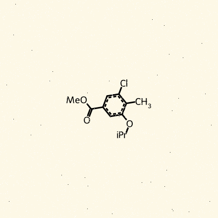 COC(=O)c1cc(Cl)c(C)c(OC(C)C)c1